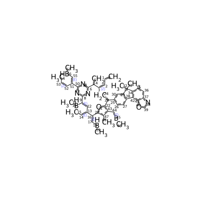 C=C/C=C\C(=C)c1nc(/C(BC)=C/C(=C\C)C(=C/BC)/c2oc(C(=C)c3ccc4c(c3)C(C)(C)c3ccc5ncoc5c3-4)c(/C=B\C)c2C)nc(C(/C=C\C)=C/BC)n1